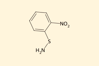 NSc1ccccc1[N+](=O)[O-]